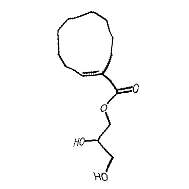 O=C(OCC(O)CO)C1=CCCCCCCCC1